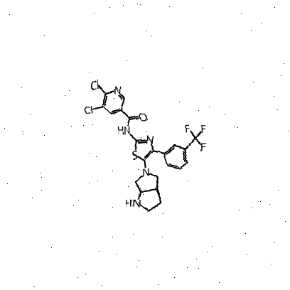 O=C(Nc1nc(-c2cccc(C(F)(F)F)c2)c(N2CC3CCNC3C2)s1)c1cnc(Cl)c(Cl)c1